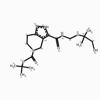 CC(C)(C)OC(=O)N1CCc2n[nH]c(C(=O)NCOC(C)(C)CO)c2C1